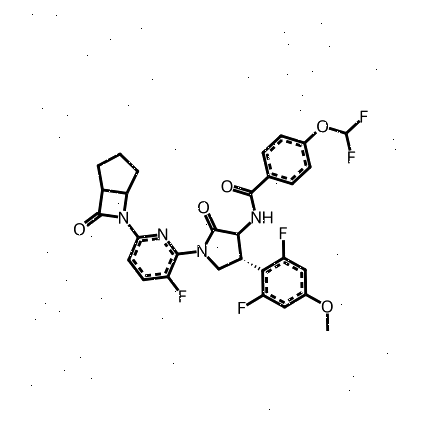 COc1cc(F)c([C@@H]2CN(c3nc(N4C(=O)C5CCCC54)ccc3F)C(=O)C2NC(=O)c2ccc(OC(F)F)cc2)c(F)c1